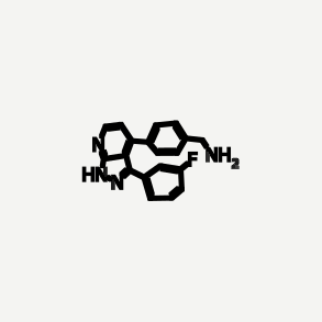 NCc1ccc(-c2ccnc3[nH]nc(-c4cccc(F)c4)c23)cc1